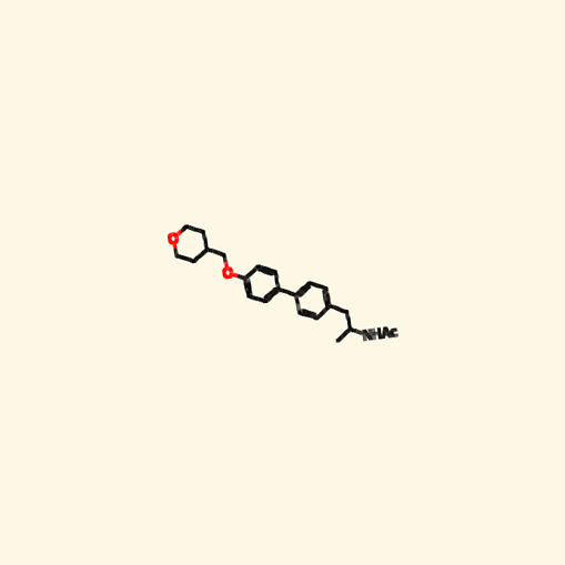 CC(=O)NC(C)Cc1ccc(-c2ccc(OCC3CCOCC3)cc2)cc1